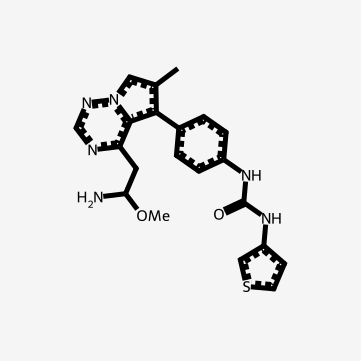 COC(N)Cc1ncnn2cc(C)c(-c3ccc(NC(=O)Nc4ccsc4)cc3)c12